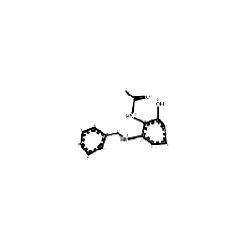 CC(=O)Nc1c(O)cccc1NCc1ccccc1